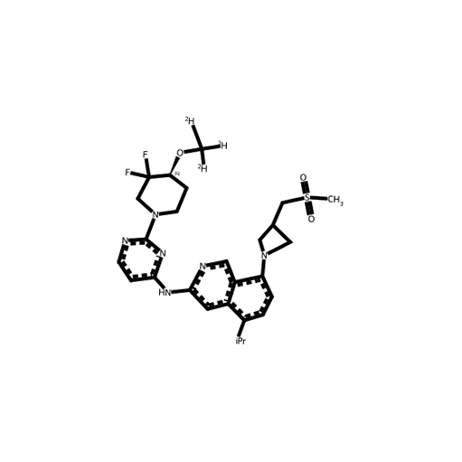 [2H]C([2H])([2H])O[C@H]1CCN(c2nccc(Nc3cc4c(C(C)C)ccc(N5CC(CS(C)(=O)=O)C5)c4cn3)n2)CC1(F)F